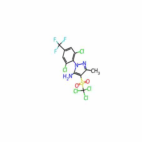 Cc1nn(-c2c(Cl)cc(C(F)(F)F)cc2Cl)c(N)c1S(=O)(=O)C(Cl)(Cl)Cl